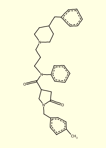 Cc1ccc(CN2CC(C(=O)N(CCCN3CCC(Cc4ccccc4)CC3)c3ccccc3)CC2=O)cc1